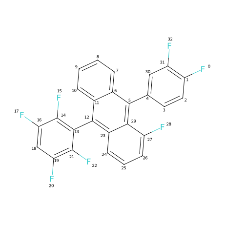 Fc1ccc(-c2c3ccccc3c(-c3c(F)c(F)cc(F)c3F)c3cccc(F)c23)cc1F